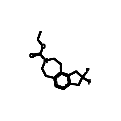 CCOC(=O)N1CCc2ccc3c(c2CC1)CC(F)(F)C3